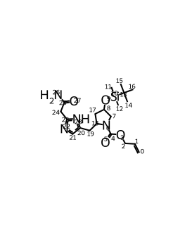 C=CCOC(=O)N1CC(O[Si](C)(C)C(C)(C)C)CC1Cc1cnc(CC(N)=O)[nH]1